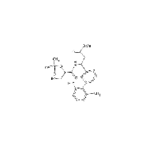 COC(=O)CC(NC(=O)C(CC(C)C)OS(C)(=O)=O)c1cncc(-c2c(C)cccc2C)c1